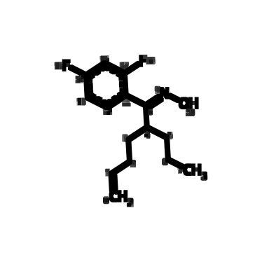 C=CCCC(CCC)C(=NO)c1ccc(F)cc1F